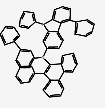 c1ccc(-c2cccc(N(c3ccc4c5c(-c6ccccc6)cccc5n(-c5ccccc5)c4c3)c3c(-c4ccccc4)c4ccccc4c4ccccc34)c2)cc1